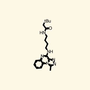 Cc1nnc2c(NCCCCNC(=O)CC(C)(C)C)nc3ccccc3n12